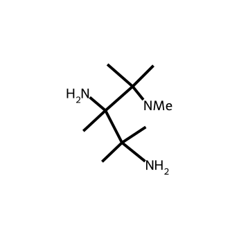 CNC(C)(C)C(C)(N)C(C)(C)N